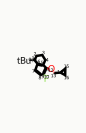 CC(C)(C)[C@H]1CCCc2c1ccc(F)c2OCC1CC1